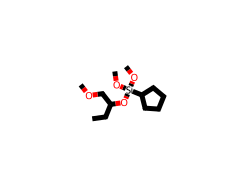 CCC(COC)O[Si](OC)(OC)C1CCCC1